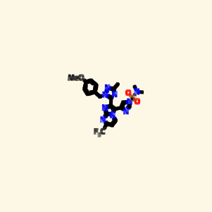 COc1ccc(Cn2nc(C)nc2-c2nc3nc(C(F)(F)F)ccn3c2-c2cn(S(=O)(=O)N(C)C)cn2)cc1